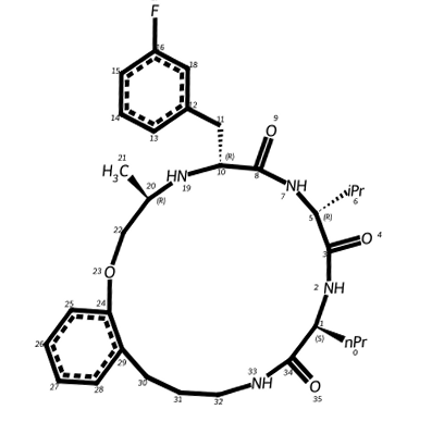 CCC[C@@H]1NC(=O)[C@@H](C(C)C)NC(=O)[C@@H](Cc2cccc(F)c2)N[C@H](C)COc2ccccc2CCCNC1=O